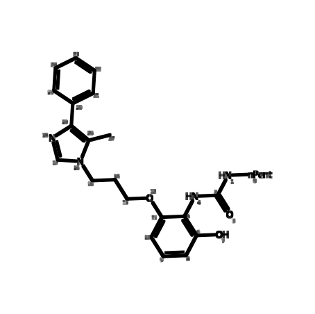 CCCCCNC(=O)Nc1c(O)cccc1OCCCn1cnc(-c2ccccc2)c1C